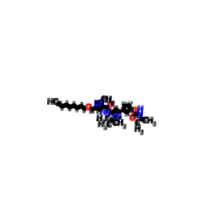 C#CCCCCCCCOCc1cc(C(=O)Nc2cc([C@H]3CC[C@@H](OC(=O)NC(C)C)C3)nn2C(C)(C)C)n(C)n1